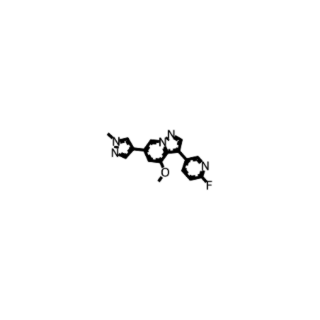 COc1cc(-c2cnn(C)c2)cn2ncc(-c3ccc(F)nc3)c12